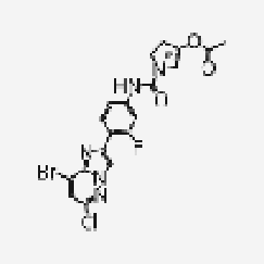 CC(=O)O[C@@H]1CCN(C(=O)Nc2ccc(-c3cn4nc(Cl)cc(Br)c4n3)c(F)c2)C1